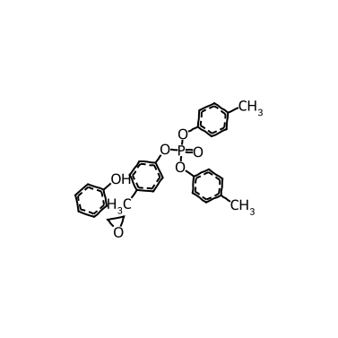 C1CO1.Cc1ccc(OP(=O)(Oc2ccc(C)cc2)Oc2ccc(C)cc2)cc1.Oc1ccccc1